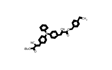 C=Cc1ccc(COC(=O)/C(C#N)=C/c2ccc(N(c3ccccc3)c3ccc(/C=C(\C#N)C(=O)OCC(C)C)cc3)cc2)cc1